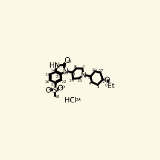 CCOC1CCC(N2CCC(n3c(=O)[nH]c4ccc(S(C)(=O)=O)cc43)CC2)CC1.Cl